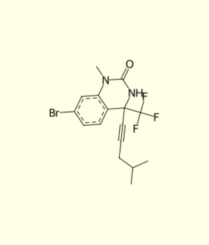 CC(C)CC#CC1(C(F)(F)F)NC(=O)N(C)c2cc(Br)ccc21